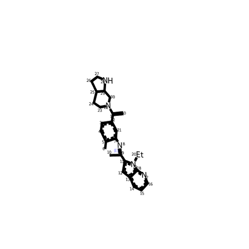 C=C(c1ccc(C)c(/N=C(\C)c2cc3cccnc3n2CC)c1)N1CCC2CCNC2C1